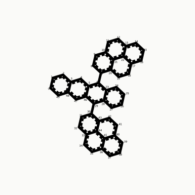 c1ccc2cc3c(-c4ccc5ccc6cccc7ccc4c5c67)c4ccccc4c(-c4ccc5ccc6cccc7ccc4c5c67)c3cc2c1